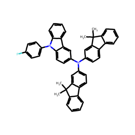 CC1(C)c2ccccc2-c2ccc(N(c3ccc4c(c3)C(C)(C)c3ccccc3-4)c3ccc4c(c3)c3ccccc3n4-c3ccc(F)cc3)cc21